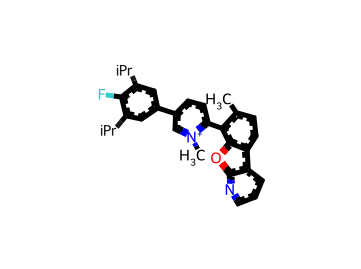 Cc1ccc2c(oc3ncccc32)c1-c1ccc(-c2cc(C(C)C)c(F)c(C(C)C)c2)c[n+]1C